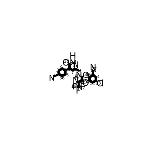 N#Cc1ccc(-c2cc(Cn3cnc(C(F)(F)F)c(Oc4cc(Cl)cc(C#N)c4)c3=O)n[nH]c2=O)cc1